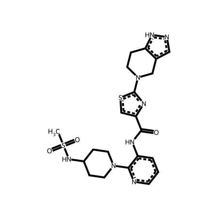 CS(=O)(=O)NC1CCN(c2ncccc2NC(=O)c2csc(N3CCc4[nH]ncc4C3)n2)CC1